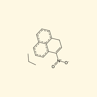 CCC.O=[N+]([O-])C1=CCc2cccc3cccc1c23